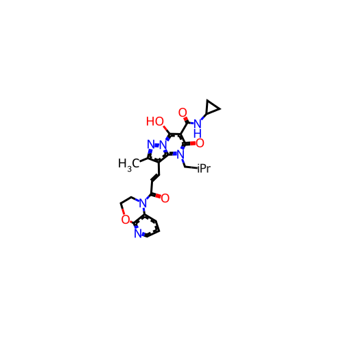 Cc1nn2c(O)c(C(=O)NC3CC3)c(=O)n(CC(C)C)c2c1C=CC(=O)N1CCOc2ncccc21